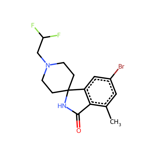 Cc1cc(Br)cc2c1C(=O)NC21CCN(CC(F)F)CC1